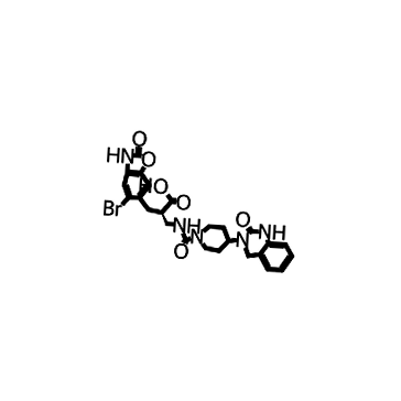 O=C(O)[C@@H](CNC(=O)N1CCC(N2Cc3ccccc3NC2=O)CC1)Cc1cc2oc(=O)[nH]c2cc1Br